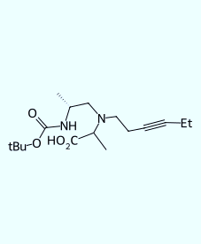 CCC#CCCN(C[C@@H](C)NC(=O)OC(C)(C)C)C(C)C(=O)O